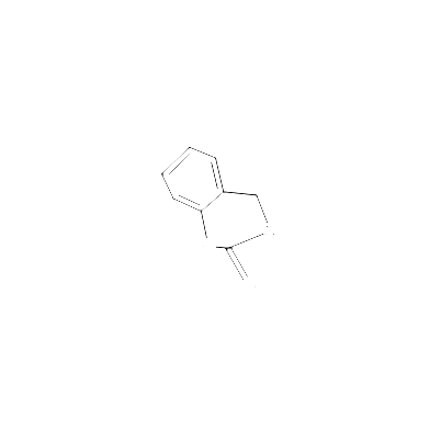 O=C1[N]Cc2ccccc2O1